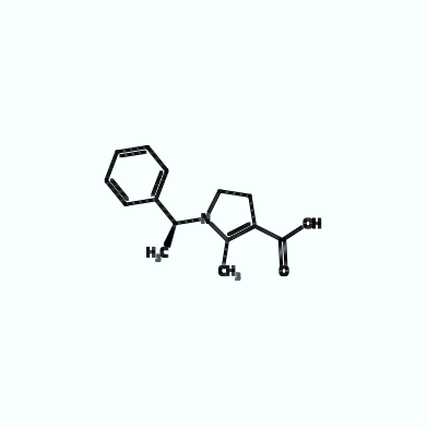 CC1=C(C(=O)O)CCN1[C@@H](C)c1ccccc1